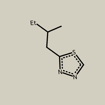 CCC(C)Cc1nncs1